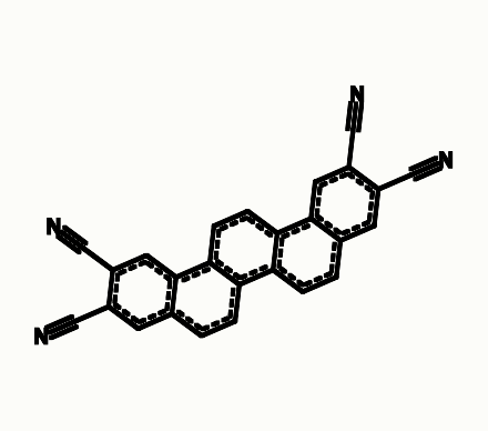 N#Cc1cc2ccc3c(ccc4c5cc(C#N)c(C#N)cc5ccc43)c2cc1C#N